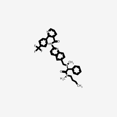 CCCCN(C)C(=O)[C@H](c1ccccc1)N(C)Cc1ccc2nc(NC(=O)c3cccnc3-c3ccc(C(F)(F)F)cc3)ccc2c1